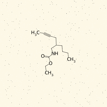 CC#CCC(CCCC)CNC(=O)OCC